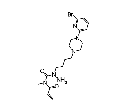 C=CC(=O)N(C)C(=O)N(N)CCCCN1CCN(c2cccc(Br)n2)CC1